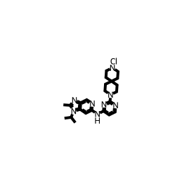 Cc1nc2cnc(Nc3ccnc(N4CCC5(CCN(Cl)CC5)CC4)n3)cc2n1C(C)C